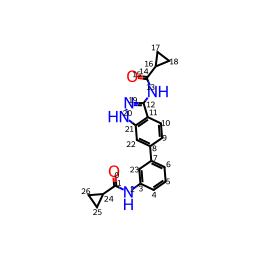 O=C(Nc1cccc(-c2ccc3c(NC(=O)C4CC4)n[nH]c3c2)c1)C1CC1